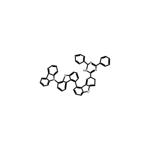 C1=c2oc3cccc(-c4cccc5oc6c(-n7c8ccccc8c8ccccc87)cccc6c45)c3c2=CC(C2=NC(c3ccccc3)=NC(c3ccccc3)N2)C1